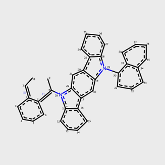 C/C=c1/cccc/c1=C(/C)n1c2ccccc2c2cc3c(cc21)c1ccccc1n3-c1cccc2ccccc12